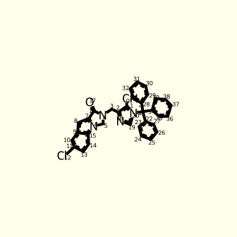 Cc1c(CN2Cn3c(cc4cc(Cl)ccc43)C2=O)ncn1C(c1ccccc1)(c1ccccc1)c1ccccc1